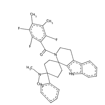 Cc1c(C)c(F)c(C(=O)N2CCc3c([nH]c4ccccc34)C23CCC(c2ccccc2)(N(C)C)CC3)c(F)c1F